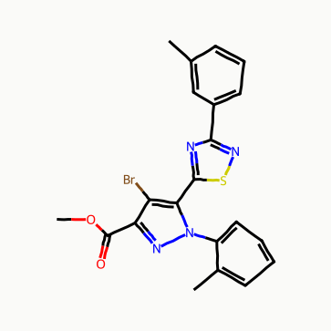 COC(=O)c1nn(-c2ccccc2C)c(-c2nc(-c3cccc(C)c3)ns2)c1Br